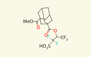 COC(=O)C12CC3CC(C1)CC(C(=O)OC(C(F)(F)F)C(F)(F)S(=O)(=O)O)(C3)C2